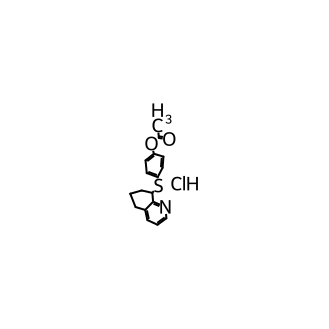 CC(=O)Oc1ccc(SC2CCCc3cccnc32)cc1.Cl